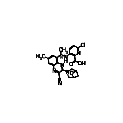 Cc1cc([C@@H](C)Nc2ccc(Cl)nc2C(=O)O)c2nc(N3CC4CC(C3)O4)c(C#N)nc2c1